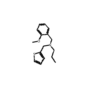 CCCN(Cc1cccs1)Cc1ccccc1OC